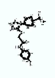 O=C(CSc1nnnn1-c1ccc(C(=O)O)cc1)Nc1ccc(F)cc1